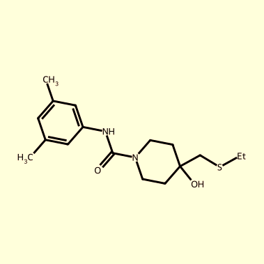 CCSCC1(O)CCN(C(=O)Nc2cc(C)cc(C)c2)CC1